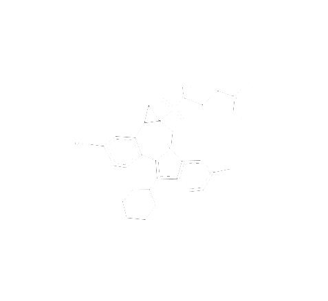 COc1ccc2c(c1)C1CC1(S(=O)(=O)N(C)CCN(C)C)Cn1c-2c(C2CCCCC2)c2ccc(C(=O)O)cc21